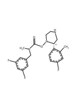 Cc1cc(F)ccc1[C@H]1CNCCN1OC(=O)N(C)Cc1cc(F)cc(F)c1